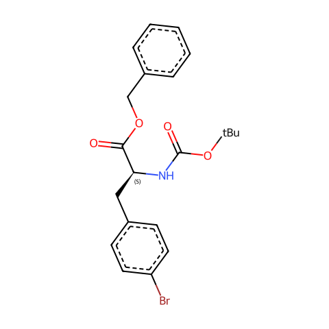 CC(C)(C)OC(=O)N[C@@H](Cc1ccc(Br)cc1)C(=O)OCc1ccccc1